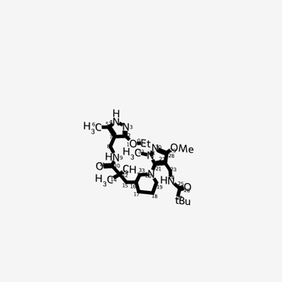 CCOc1n[nH]c(C)c1CNC(=O)C(C)(C)CC1CCCN(c2c(CNC(=O)C(C)(C)C)c(OC)nn2C)C1